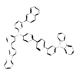 c1cc(-c2ccc3ccccc3c2)cc(N(c2ccc(-c3ccc(-c4cccc(-n5c6ccccc6c6ccccc65)c4)cc3)cc2)c2cccc(-c3ccc4c(c3)oc3ccccc34)c2)c1